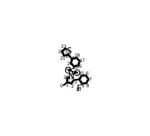 [CH2]c1cc(-c2ccccc2F)n(S(=O)(=O)c2cccc(-c3cccs3)c2)c1